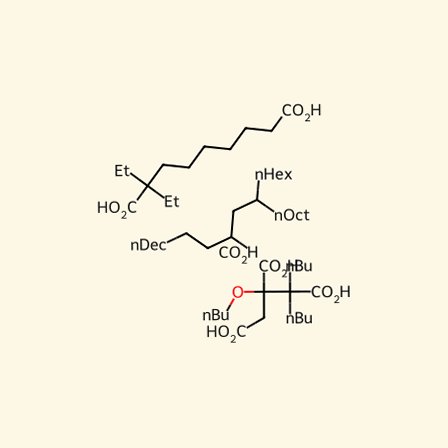 CCC(CC)(CCCCCCC(=O)O)C(=O)O.CCCCCCCCCCCCC(CC(CCCCCC)CCCCCCCC)C(=O)O.CCCCOC(CC(=O)O)(C(=O)O)C(CCCC)(CCCC)C(=O)O